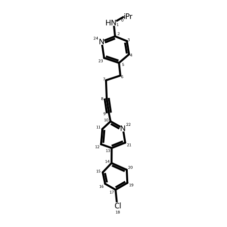 CC(C)Nc1ccc(CCC#Cc2ccc(-c3ccc(Cl)cc3)cn2)cn1